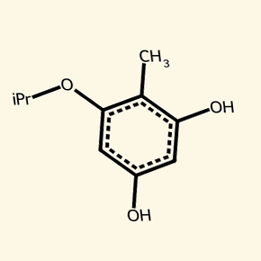 Cc1c(O)cc(O)cc1OC(C)C